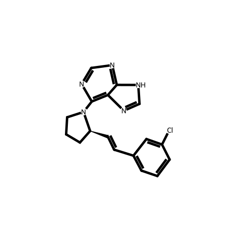 Clc1cccc(C=C[C@H]2CCCN2c2ncnc3[nH]cnc23)c1